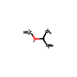 COC(C)OC(=O)O